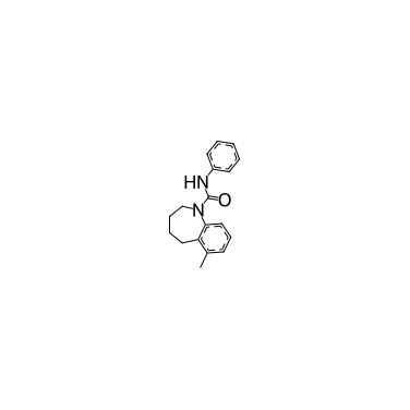 Cc1cccc2c1CCCCN2C(=O)Nc1ccccc1